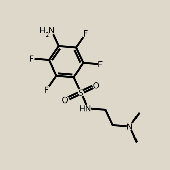 CN(C)CCNS(=O)(=O)c1c(F)c(F)c(N)c(F)c1F